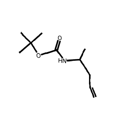 C=CCC(C)NC(=O)OC(C)(C)C